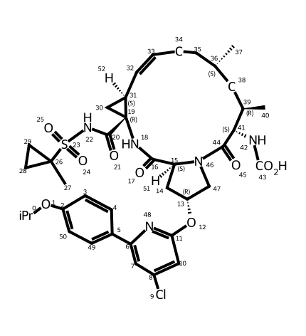 CC(C)Oc1ccc(-c2cc(Cl)cc(O[C@@H]3C[C@H]4C(=O)N[C@]5(C(=O)NS(=O)(=O)C6(C)CC6)C[C@H]5C=CCC[C@H](C)C[C@@H](C)[C@H](NC(=O)O)C(=O)N4C3)n2)cc1